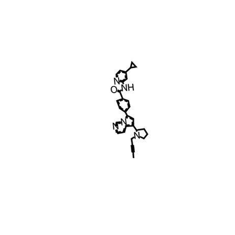 CC#CCN1CCCC1c1cc(-c2ccc(C(=O)Nc3cc(C4CC4)ccn3)cc2)n2cnccc12